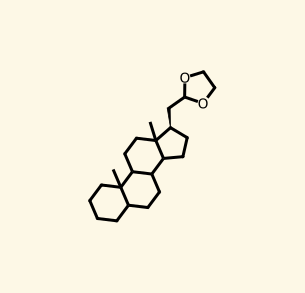 CC12CCCCC1CCC1C2CCC2(C)C1CC[C@@H]2CC1OCCO1